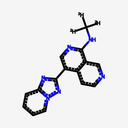 [2H]C([2H])([2H])Nc1ncc(-c2nc3ccccn3n2)c2ccncc12